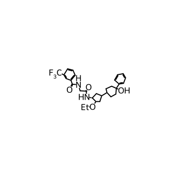 CCOC1CC(C2CCC(O)(c3ccccc3)CC2)C[C@@H]1NC(=O)CNC(=O)c1cccc(C(F)(F)F)c1